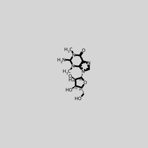 CN1C(=O)c2ncn([C@@H]3O[C@H](CO)[C@@H](O)[C@H]3O)c2N(C)C1N